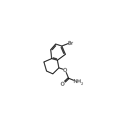 NC(=O)OC1CCCc2ccc(Br)cc21